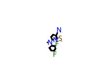 CSc1nc(N(C)c2ccc(F)cc2F)ccc1C#N